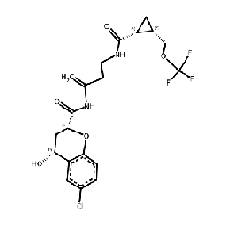 C=C(CCNC(=O)[C@@H]1C[C@@H]1COC(F)(F)F)NC(=O)[C@H]1C[C@@H](O)c2cc(Cl)ccc2O1